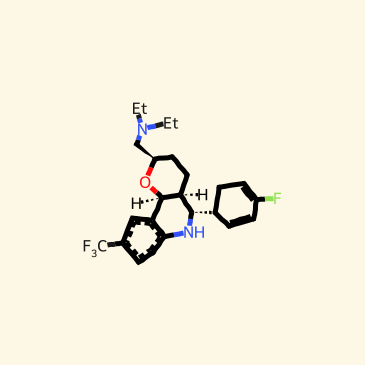 CCN(CC)C[C@H]1CC[C@@H]2[C@H](O1)c1cc(C(F)(F)F)ccc1N[C@H]2C1C=CC(F)=CC1